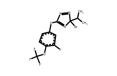 CC(C)C1(Br)N=NC(Oc2ccc(OC(F)(F)F)c(F)c2)=N1